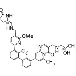 COc1nc(-c2cccc(-c3cccc(-c4cc(C)n5c(=O)c(CNC[C@@H](C)O)cnc5c4)c3Cl)c2Cl)ccc1CNC[C@H]1CCC(=O)N1